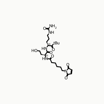 CC(C)(C)C(=O)[C@H](CCCNC(N)=O)NC(=O)[C@H](CCO)NC(=O)CCCCCN1C(=O)C=CC1=O